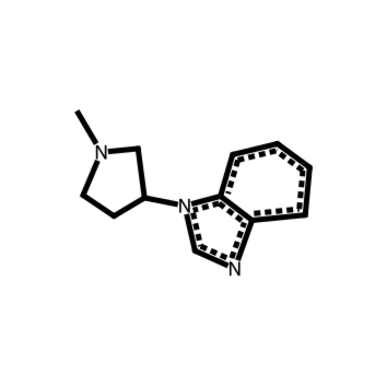 CN1CCC(n2cnc3ccccc32)C1